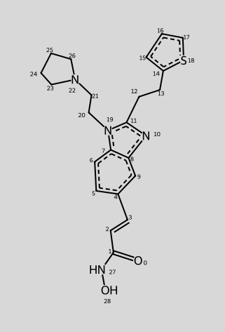 O=C(C=Cc1ccc2c(c1)nc(CCc1cccs1)n2CCN1CCCC1)NO